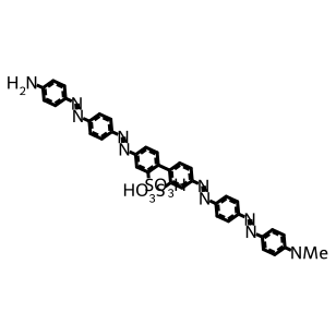 CNc1ccc(N=Nc2ccc(N=Nc3ccc(-c4ccc(N=Nc5ccc(N=Nc6ccc(N)cc6)cc5)cc4S(=O)(=O)O)c(S(=O)(=O)O)c3)cc2)cc1